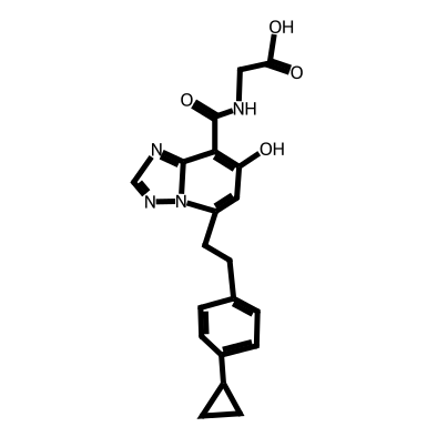 O=C(O)CNC(=O)c1c(O)cc(CCc2ccc(C3CC3)cc2)n2ncnc12